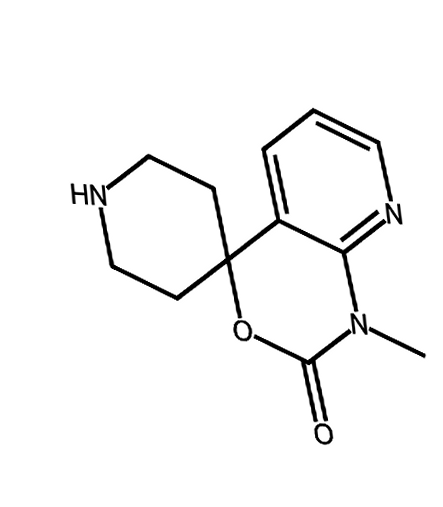 CN1C(=O)OC2(CCNCC2)c2cccnc21